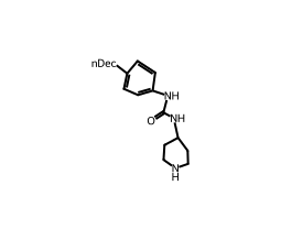 CCCCCCCCCCc1ccc(NC(=O)NC2CCNCC2)cc1